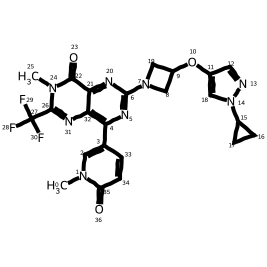 Cn1cc(-c2nc(N3CC(Oc4cnn(C5CC5)c4)C3)nc3c(=O)n(C)c(C(F)(F)F)nc23)ccc1=O